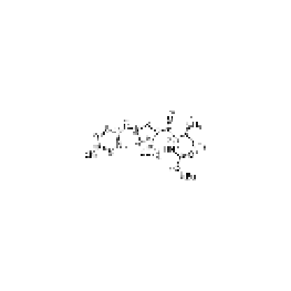 C=C(C)[C@H](NC(=O)OC(C)(C)C)C(=O)N1C[C@H](Oc2ccc(Cl)cn2)C[C@H]1C(=O)O